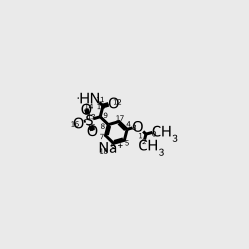 CC(C)Oc1cccc(C(C([NH])=O)S(=O)(=O)[O-])c1.[Na+]